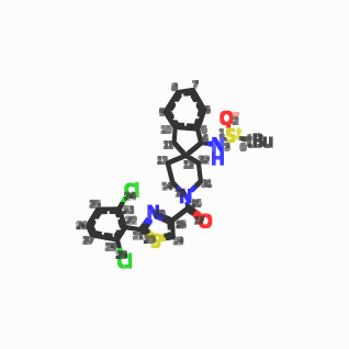 CC(C)(C)[S@+]([O-])N[C@@H]1c2ccccc2CC12CCN(C(=O)c1csc(-c3c(Cl)cccc3Cl)n1)CC2